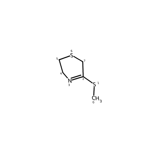 CSC1=NCCSC1